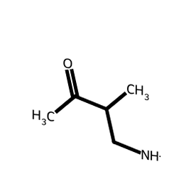 CC(=O)C(C)C[NH]